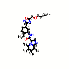 [2H]c1c([2H])c([2H])n2c(C(=O)Nc3cc(-c4noc(COCCOC)n4)ccc3C)cnc2c1[2H]